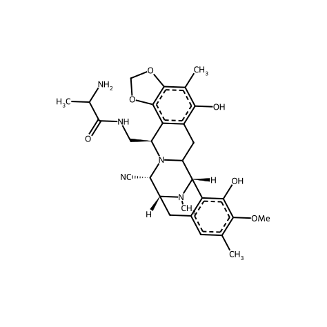 COc1c(C)cc2c(c1O)[C@H]1C3Cc4c(O)c(C)c5c(c4[C@H](CNC(=O)C(C)N)N3[C@@H](C#N)[C@@H](C2)N1C)OCO5